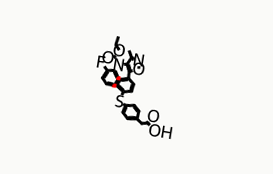 CCOC(=O)N(c1ccccc1F)c1c(C)noc1-c1ccc(Sc2ccc(CC(=O)O)cc2)cc1